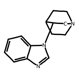 c1ccc2c(c1)ncn2C1CN2CCC1CC2